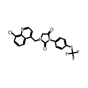 O=C1CN(Cc2ccnc3c(Cl)cccc23)C(=O)N1c1ccc(SC(F)(F)F)cc1